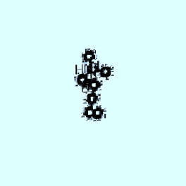 c1ccc(C2=NC(c3ccccc3)NC(c3cccc4oc5c(-c6ccc(-c7cccc8ccccc78)cc6)cccc5c34)N2)cc1